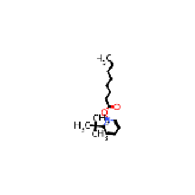 CCCCCCCC(=O)ON1C=CC=CC1C(C)(C)C